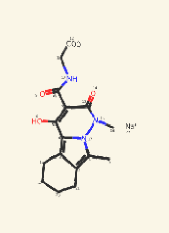 Cc1c2c(c3c(O)c(C(=O)NCC(=O)[O-])c(=O)n(C)n13)CCCC2.[Na+]